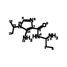 CCC(N)NC(=O)c1ncn(C(C)C)c1N